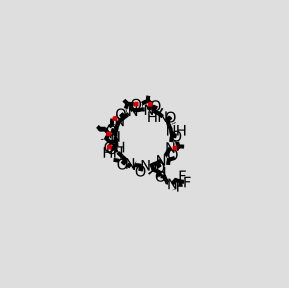 C/C=C/C[C@@H](C)[C@@H](O)C1C(=O)N[C@@H](CC)C(=O)N(C)[C@H](C)C(=O)N(C)[C@@H]([C@H](C)COCCN(C)CC(F)(F)F)C(=O)N[C@@H](C(C)C)C(=O)N(C)[C@@H](CC(C)C)C(=O)N[C@@H](C)C(=O)N[C@H](C)C(=O)N(C)[C@@H](CC(C)C)C(=O)N(C)[C@@H](CC(C)C)C(=O)N(C)[C@@H](C(C)C)C(=O)N1C